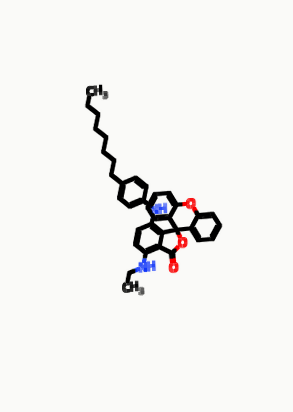 CCCCCCCCc1ccc(Nc2ccc(NCC)c3c2C2(OC3=O)c3ccccc3Oc3ccccc32)cc1